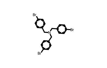 Brc1ccc(CN(Cc2ccc(Br)cc2)Cc2ccc(Br)cc2)cc1